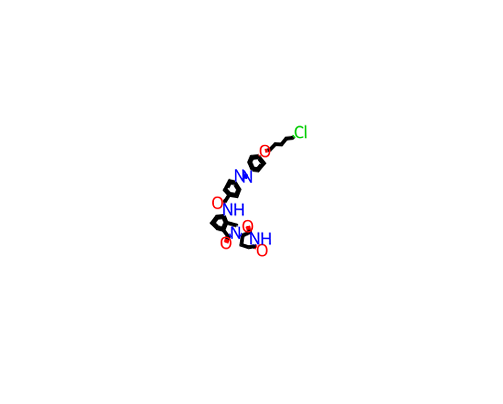 O=C1CCC(N2Cc3c(NC(=O)c4ccc(N=Nc5ccc(OCCCCCCl)cc5)cc4)cccc3C2=O)C(=O)N1